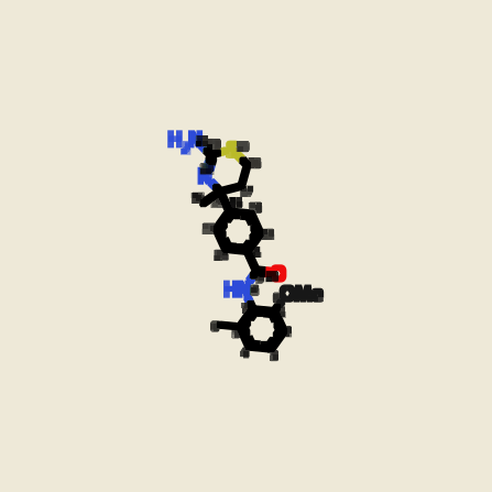 COc1cccc(C)c1NC(=O)c1ccc(C2(C)CCSC(N)=N2)cc1